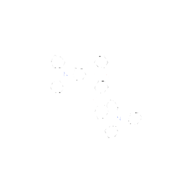 c1ccc(N(c2ccccc2)c2ccc3c(c2)Oc2cccc4c2B3c2cc3c(cc2O4)-c2ccc(N(c4ccccc4)c4ccccc4)c4cccc(c24)O3)cc1